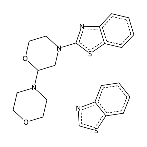 c1ccc2sc(N3CCOC(N4CCOCC4)C3)nc2c1.c1ccc2scnc2c1